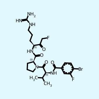 CC(C)[C@H](NC(=O)c1ccc(Br)c(F)c1)C(=O)N1CCC[C@H]1C(=O)N[C@@H](CCCNC(=N)N)C(=O)CF